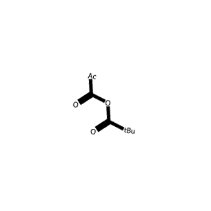 CC(=O)C(=O)OC(=O)C(C)(C)C